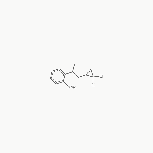 CNc1ccccc1C(C)CC1CC1(Cl)Cl